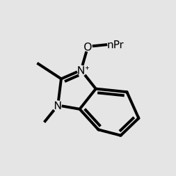 CCCO[n+]1c(C)n(C)c2ccccc21